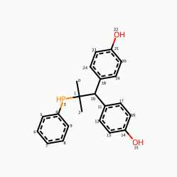 CC(C)(Pc1ccccc1)C(c1ccc(O)cc1)c1ccc(O)cc1